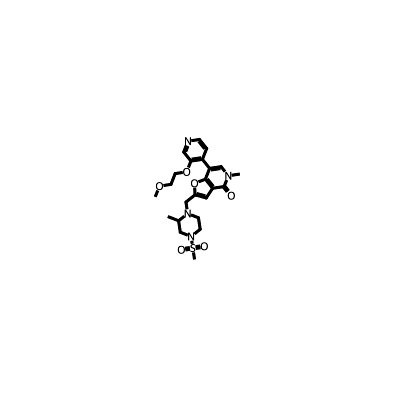 COCCOc1cnccc1-c1cn(C)c(=O)c2cc(CN3CCN(S(C)(=O)=O)CC3C)oc12